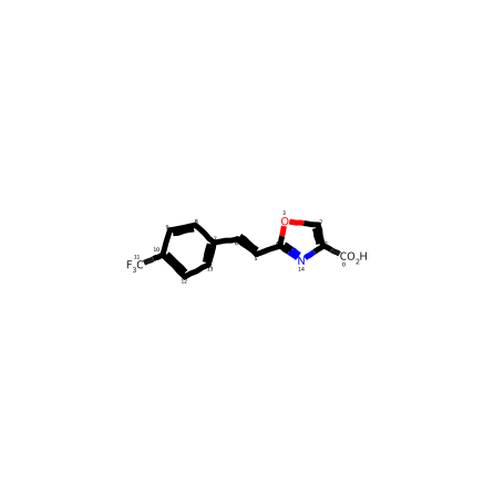 O=C(O)c1coc(C=Cc2ccc(C(F)(F)F)cc2)n1